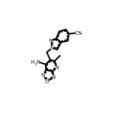 Cc1nc2nonc2c(N)c1Cn1cc2cc(C#N)ccc2n1